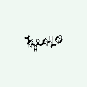 CC(CN1CCOCC1)Nc1nc(CC(=O)Nc2ncc(C(C)C)s2)cs1